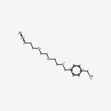 [N-]=[N+]=NCCOCCOCCOCc1ccc(CS)cc1